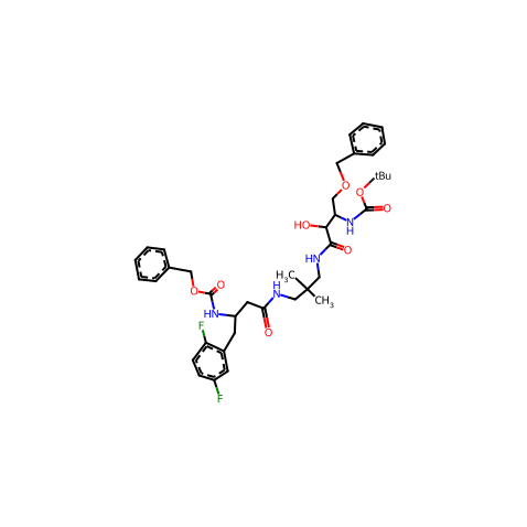 CC(C)(CNC(=O)CC(Cc1cc(F)ccc1F)NC(=O)OCc1ccccc1)CNC(=O)C(O)C(COCc1ccccc1)NC(=O)OC(C)(C)C